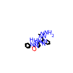 Cc1nc(N)nc(-c2c(Nc3ccn(C(=O)Nc4ccccc4)n3)nc3ccccn23)n1